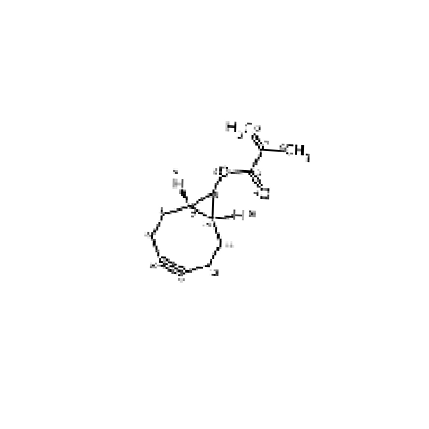 C=C(C)C(=O)OC1[C@H]2CCC#CCC[C@@H]12